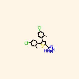 Cc1cc(Cl)ccc1-c1cc(-c2nnn[nH]2)sc1-c1ccc(Cl)cc1C